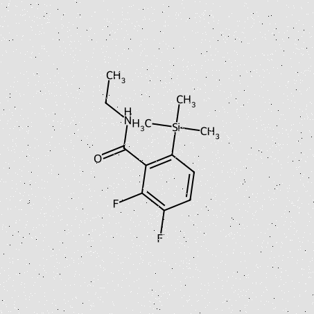 CCNC(=O)c1c([Si](C)(C)C)ccc(F)c1F